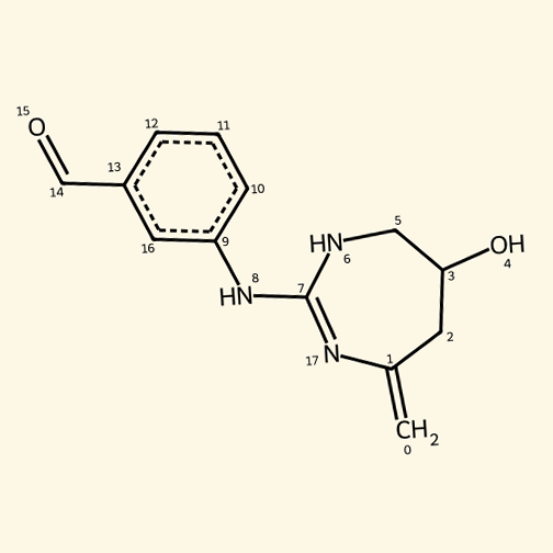 C=C1CC(O)CNC(Nc2cccc(C=O)c2)=N1